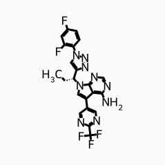 CC[C@H](c1cn(-c2ccc(F)cc2F)nn1)n1cc(-c2cnc(C(F)(F)F)nc2)c2c(N)ncnc21